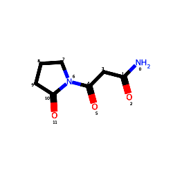 NC(=O)CC(=O)N1CCCC1=O